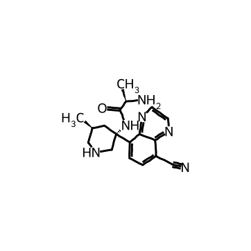 C[C@@H]1CNC[C@](NC(=O)[C@@H](C)N)(c2ccc(C#N)c3nccnc23)C1